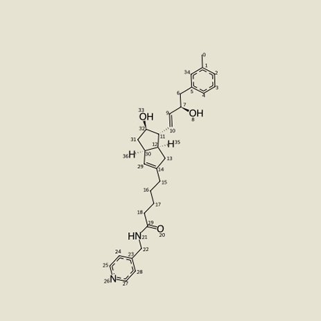 Cc1cccc(C[C@@H](O)/C=C/[C@@H]2[C@H]3CC(CCCCC(=O)NCc4ccncc4)=C[C@H]3C[C@H]2O)c1